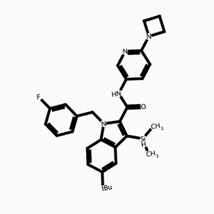 C[SiH](C)c1c(C(=O)Nc2ccc(N3CCC3)nc2)n(Cc2cccc(F)c2)c2ccc(C(C)(C)C)cc12